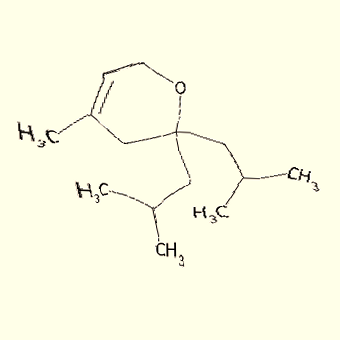 CC1=CCOC(CC(C)C)(CC(C)C)C1